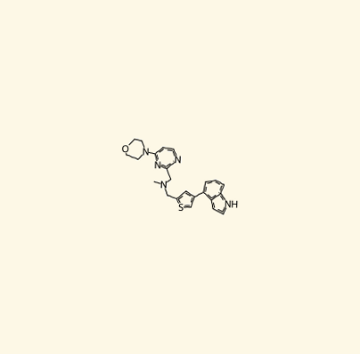 CN(Cc1nccc(N2CCOCC2)n1)Cc1cc(-c2cccc3[nH]ccc23)cs1